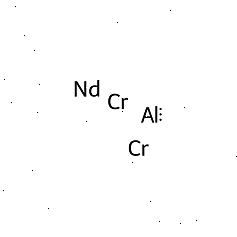 [Al].[Cr].[Cr].[Nd]